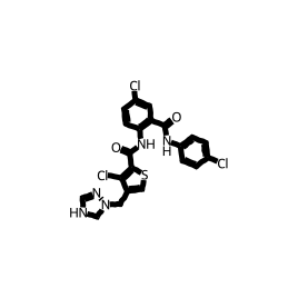 O=C(Nc1ccc(Cl)cc1)c1cc(Cl)ccc1NC(=O)c1scc(CN2CNC=N2)c1Cl